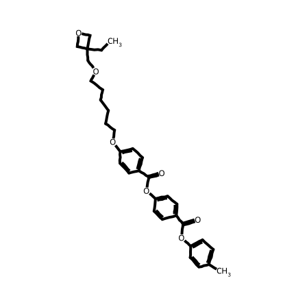 CCC1(COCCCCCCOc2ccc(C(=O)Oc3ccc(C(=O)Oc4ccc(C)cc4)cc3)cc2)COC1